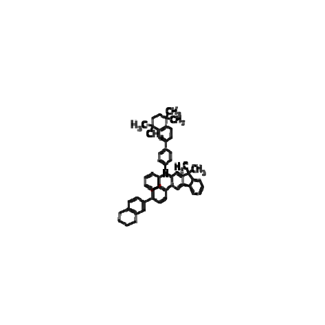 CC1(C)CCC(C)(C)c2cc(-c3ccc(N(c4ccccc4)c4cc5c(cc4-c4ccc(-c6ccc7c(c6)CCCC7)cc4)-c4ccccc4C5(C)C)cc3)ccc21